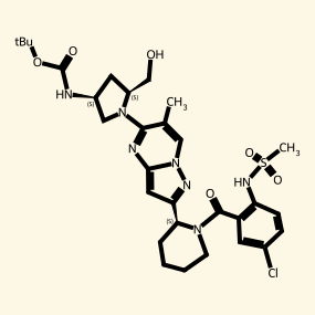 Cc1cn2nc([C@@H]3CCCCN3C(=O)c3cc(Cl)ccc3NS(C)(=O)=O)cc2nc1N1C[C@@H](NC(=O)OC(C)(C)C)C[C@H]1CO